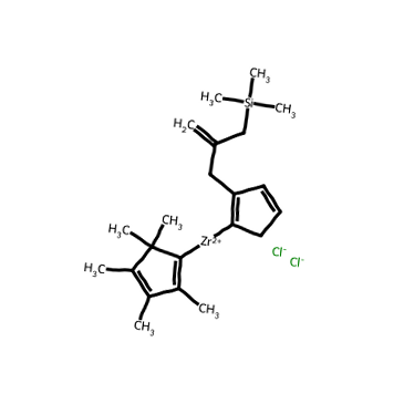 C=C(CC1=[C]([Zr+2][C]2=C(C)C(C)=C(C)C2(C)C)CC=C1)C[Si](C)(C)C.[Cl-].[Cl-]